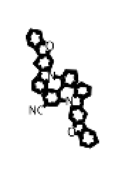 N#Cc1ccc(-c2ccccc2-n2c3ccccc3c3cc4c(cc32)oc2ccccc24)c(-n2c3ccccc3c3cc4c(cc32)oc2ccccc24)c1